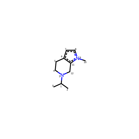 CC(C)N1CCc2ccn(C)c2C1